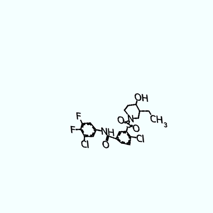 CCC1CN(S(=O)(=O)c2cc(C(=O)Nc3cc(F)c(F)c(Cl)c3)ccc2Cl)CCC1O